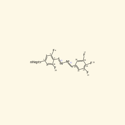 CCCCCCCc1cc(F)c(/C=N/N=C/c2cc(F)c(F)c(F)c2)c(F)c1